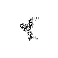 N[C@H](CF)[C@H]1CC[C@H](C(=O)N2CC[C@@H](N3CCCCC3)[C@H]2C(=O)Nc2ccc3oc(C(=O)O)cc3c2)CC1